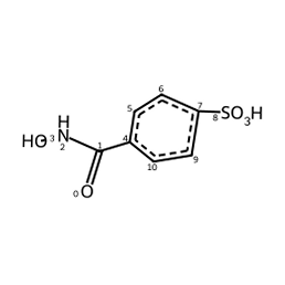 O=C(NO)c1ccc(S(=O)(=O)O)cc1